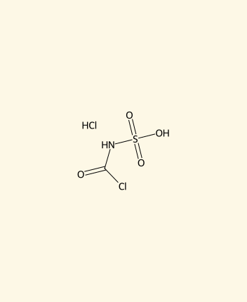 Cl.O=C(Cl)NS(=O)(=O)O